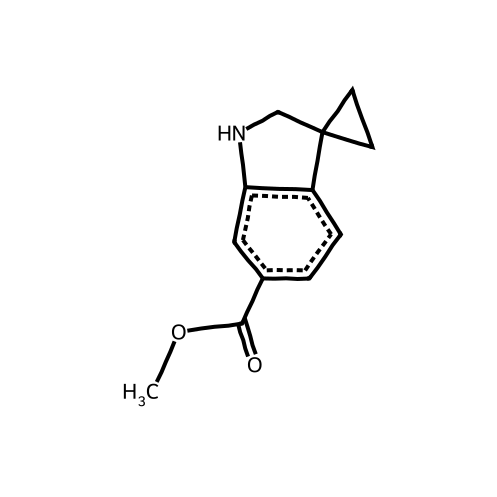 COC(=O)c1ccc2c(c1)NCC21CC1